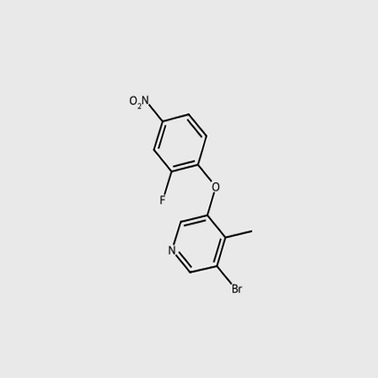 Cc1c(Br)cncc1Oc1ccc([N+](=O)[O-])cc1F